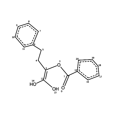 O=C(OC(CCc1ccccc1)=C(O)O)c1ccccc1